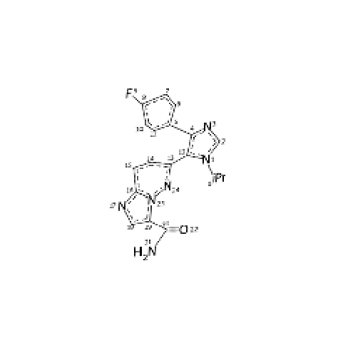 CC(C)n1cnc(-c2ccc(F)cc2)c1-c1ccc2ncc(C(N)=O)n2n1